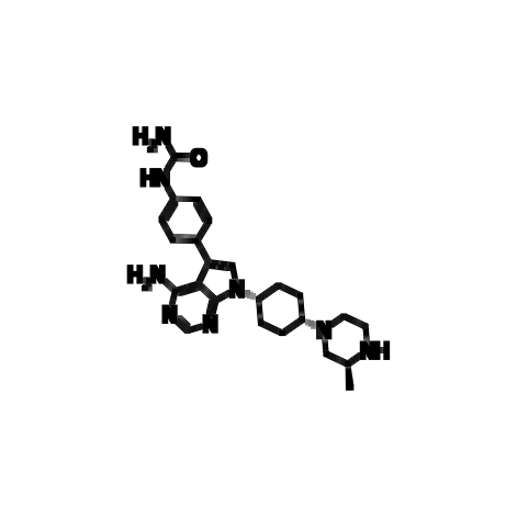 C[C@H]1CN([C@H]2CC[C@@H](n3cc(-c4ccc(NC(N)=O)cc4)c4c(N)ncnc43)CC2)CCN1